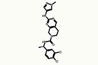 C[C@@H](NC(=O)N1CCc2cnc(Nc3cnn(C)c3)nc2C1)c1ccc(Cl)c(Cl)c1